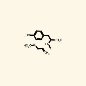 C=CCOC(=O)O.O=C(O)C(Cc1ccc(O)cc1)NI